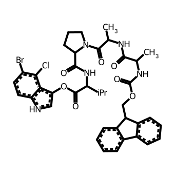 CC(NC(=O)OCC1c2ccccc2-c2ccccc21)C(=O)NC(C)C(=O)N1CCCC1C(=O)NC(C(=O)Oc1c[nH]c2ccc(Br)c(Cl)c12)C(C)C